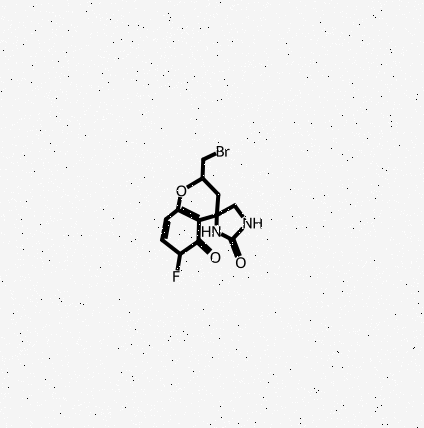 O=C1NCC2(CC(CBr)OC3=C2C(=O)C(F)C=C3)N1